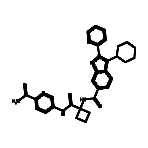 NC(=O)c1ccc(NC(=O)C2(NC(=O)c3ccc4c(C5CCCCC5)n(-c5ccccn5)nc4c3)CCC2)cn1